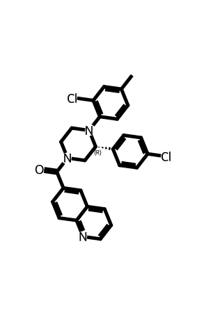 Cc1ccc(N2CCN(C(=O)c3ccc4ncccc4c3)C[C@H]2c2ccc(Cl)cc2)c(Cl)c1